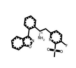 CS(=O)(=O)c1nc(C[C@H](N)c2ccccc2-c2noc3ccccc23)ccc1F